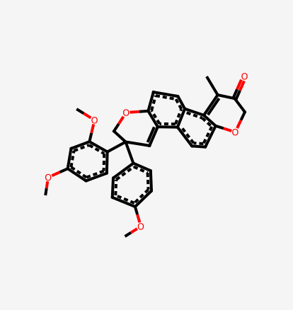 COc1ccc(C2(c3ccc(OC)cc3OC)C=c3c(ccc4c5c(ccc34)OCC(=O)C=5C)OC2)cc1